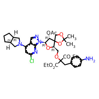 CCOC(=O)C(Cc1ccc(N)cc1)(OC[C@H]1O[C@@H](n2ncc3c(N4C[C@H]5CCC[C@H]5C4)cc(Cl)nc32)[C@H](OC(C)=O)C12COC(C)(C)O2)C(=O)OCC